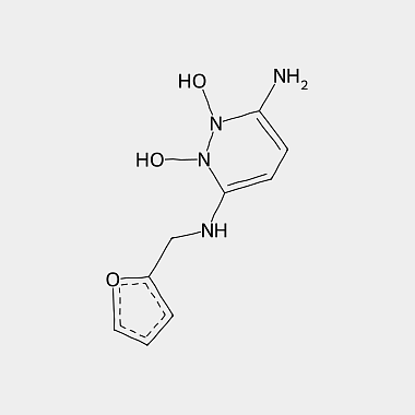 NC1=CC=C(NCc2ccco2)N(O)N1O